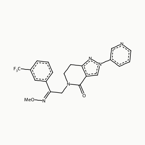 CO/N=C(/CN1CCc2nn(-c3cccnc3)cc2C1=O)c1cccc(C(F)(F)F)c1